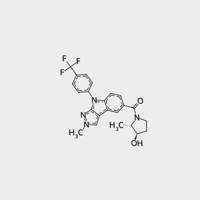 C[C@H]1[C@H](O)CCN1C(=O)c1ccc2c(c1)c1cn(C)nc1n2-c1ccc(C(F)(F)F)cc1